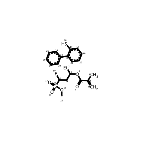 C=C(C)C(=O)OC(CC)CC(F)S(=O)(=O)OF.Sc1ccccc1-c1ccccc1